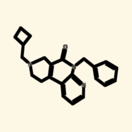 O=c1c2c(c3cccnc3n1Cc1ccccc1)CCN(CC1CCC1)C2